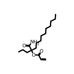 C=CC(=O)OC(CCC)(CCCCCCCCCC)C(N)=O